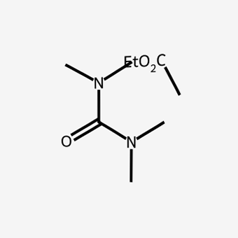 CCOC(C)=O.CN(C)C(=O)N(C)C